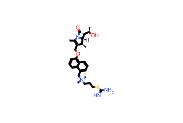 CC1=C(COc2cccc3c(C[N+](C)(C)CCCSC(=N)N)cccc23)[C@H](C)[C@@H]2[C@@H]([C@@H](C)O)C(=O)N12